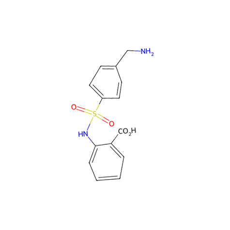 NCc1ccc(S(=O)(=O)Nc2ccccc2C(=O)O)cc1